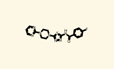 O=C(Nc1nnc(N2CCN(c3ncccn3)CC2)s1)c1ccc(F)cc1